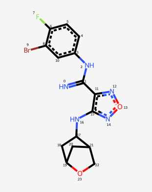 N=C(Nc1ccc(F)c(Br)c1)c1nonc1NC1CC2CC1CO2